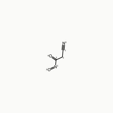 N#CCC(=O)N=O